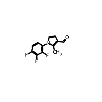 Cc1c(C=O)ccn1-c1ccc(F)c(F)c1F